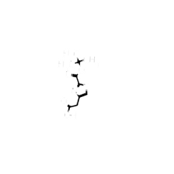 CC(C)(C)OC(=O)c1nc(CC(=O)O)cs1